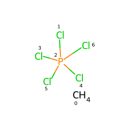 C.ClP(Cl)(Cl)(Cl)Cl